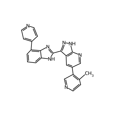 Cc1ccncc1-c1cnc2[nH]nc(-c3nc4c(-c5ccncc5)cccc4[nH]3)c2c1